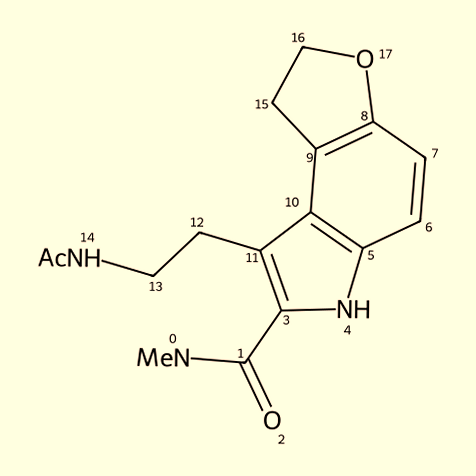 CNC(=O)c1[nH]c2ccc3c(c2c1CCNC(C)=O)CCO3